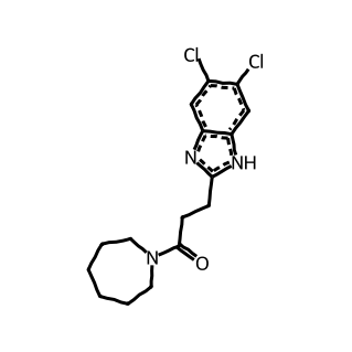 O=C(CCc1nc2cc(Cl)c(Cl)cc2[nH]1)N1CCCCCC1